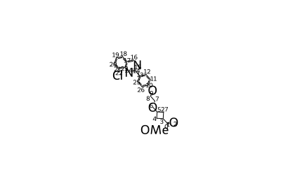 COC(=O)C1CC(OCCOc2ccc(-c3ncc4cccc(Cl)c4n3)cc2)C1